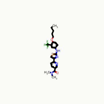 CCCCCOc1ccc(Nc2nc(-c3ccc(C(=O)N(C)C)cn3)cs2)cc1C(F)(F)F